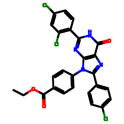 CCOC(=O)c1ccc(-n2c(-c3ccc(Cl)cc3)nc3c(=O)[nH]c(-c4ccc(Cl)cc4Cl)nc32)cc1